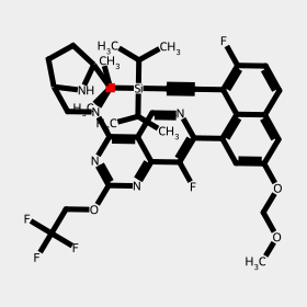 COCOc1cc(-c2ncc3c(N4CC5CCC(C4)N5)nc(OCC(F)(F)F)nc3c2F)c2c(C#C[Si](C(C)C)(C(C)C)C(C)C)c(F)ccc2c1